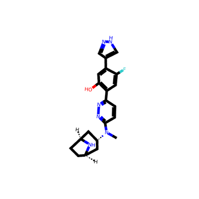 CN(c1ccc(-c2cc(F)c(-c3cn[nH]c3)cc2O)nn1)[C@@H]1C[C@H]2CC[C@@H](C1)N2